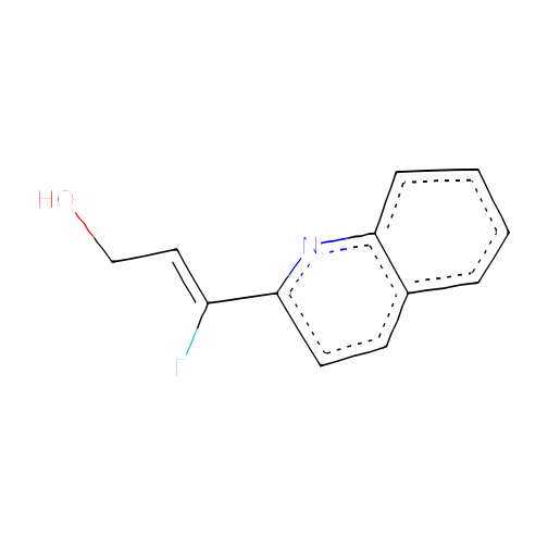 OCC=C(F)c1ccc2ccccc2n1